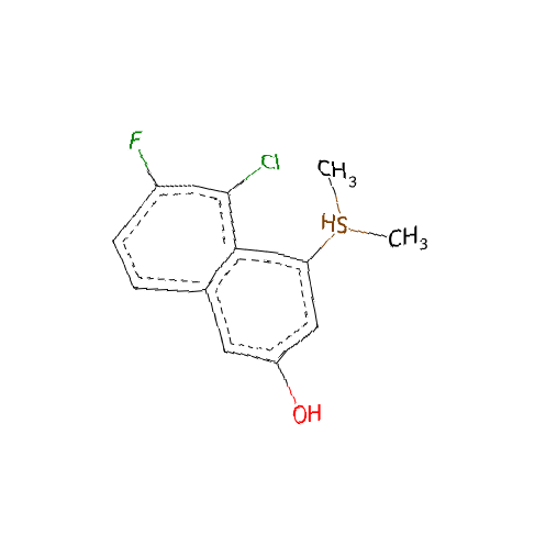 C[SH](C)c1cc(O)cc2ccc(F)c(Cl)c12